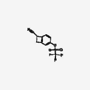 N#CC1Cc2cc(OS(=O)(=O)C(F)(F)F)ccc21